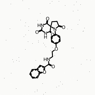 O=C1NC(=O)C2(CCC(=O)N2c2ccc(OCCNC(=O)c3cc4ccccc4o3)cc2)C(=O)N1